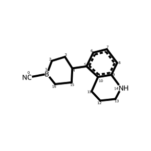 N#CB1CCC(c2cccc3c2CCCN3)CC1